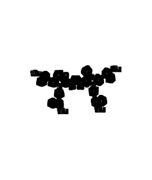 CC(C)(C)c1ccc(-c2ccc(N(c3ccc(-c4ccc(C(C)(C)C)c5ccccc45)cc3)c3cc4c(c5c3oc3ccccc35)-c3ccc5c(c3C4(C)C)C(C)(C)c3cc(N(c4ccc(-c6ccc(C(C)(C)C)c7ccccc67)cc4)c4ccc(-c6ccc(C(C)(C)C)c7ccccc67)cc4)c4c(oc6ccccc64)c3-5)cc2)c2ccccc12